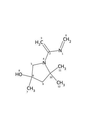 C=NC(=C)N1CC(C)(O)CC1(C)C